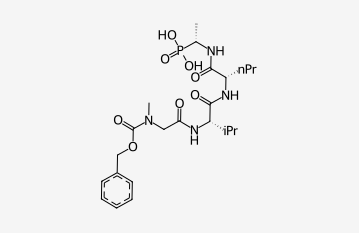 CCC[C@H](NC(=O)[C@@H](NC(=O)CN(C)C(=O)OCc1ccccc1)C(C)C)C(=O)N[C@@H](C)P(=O)(O)O